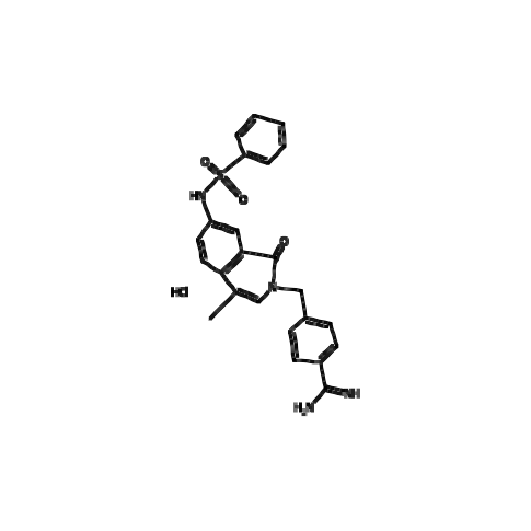 Cc1cn(Cc2ccc(C(=N)N)cc2)c(=O)c2cc(NS(=O)(=O)c3ccccc3)ccc12.Cl